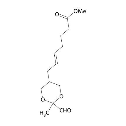 COC(=O)CCCC=CCC1COC(C)(C=O)OC1